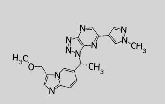 COCc1cnc2ccc([C@@H](C)n3nnc4ncc(-c5cnn(C)c5)nc43)cn12